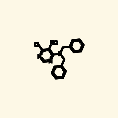 O=Nc1c(Cl)ncnc1N(Cc1ccccc1)Cc1ccccc1